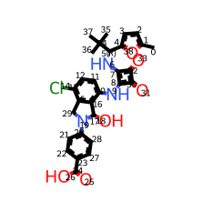 Cc1ccc([C@H](Nc2c(Nc3ccc(Cl)c4c3C(O)N(c3ccc(C(=O)O)cc3)C4)c(=O)c2=O)C(C)(C)C)o1